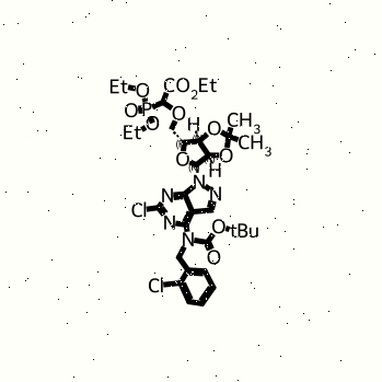 CCOC(=O)C(OC[C@H]1O[C@@H](n2ncc3c(N(Cc4ccccc4Cl)C(=O)OC(C)(C)C)nc(Cl)nc32)[C@@H]2OC(C)(C)O[C@@H]21)P(=O)(OCC)OCC